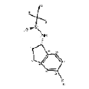 CC(C)(C)[S@+]([O-])N[C@H]1CCc2cc(F)ccc21